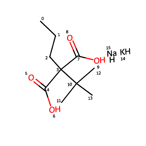 CCCC(C(=O)O)(C(=O)O)C(C)(C)C.[KH].[NaH]